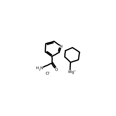 NC(=O)c1cccnc1.[Cl-].[Mg+][CH]1CCCCC1